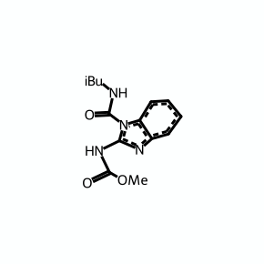 CCC(C)NC(=O)n1c(NC(=O)OC)nc2ccccc21